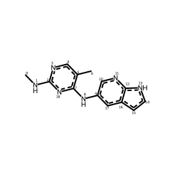 CNc1ncc(C)c(Nc2cnc3[nH]ccc3c2)n1